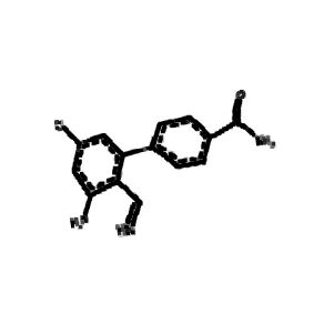 N=Cc1c(N)cc(Cl)cc1-c1ccc(C(N)=O)cc1